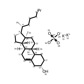 CC(C)CCC[C@@H](C)[C@H]1CC[C@H]2[C@@H]3CC=C4C[C@@H](O)CC[C@]4(C)[C@H]3CC[C@]12C.O=S(=O)([O-])[O-].[K+].[K+]